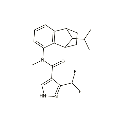 CC(C)C1C2CCC1c1c2cccc1N(C)C(=O)c1c[nH]nc1C(F)F